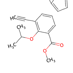 C#Cc1cccc(C(=O)OC)c1OC(C)C.c1cc2cc-2c1